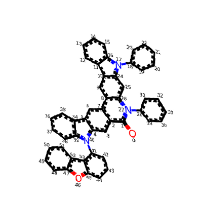 O=c1c2cc3c(cc2c2cc4c5ccccc5n(-c5ccccc5)c4cc2n1-c1ccccc1)c1ccccc1n3-c1cccc2oc3ccccc3c12